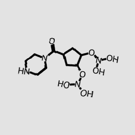 O=C(C1CC(ON(O)O)C(ON(O)O)C1)N1CCNCC1